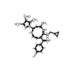 Cc1nn(-c2cc(N)[nH]c(NCC3CC3)c(C(=N)c3ccc(F)cc3)ccn2)c(C)c1C=O